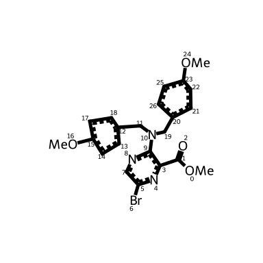 COC(=O)c1nc(Br)cnc1N(Cc1ccc(OC)cc1)Cc1ccc(OC)cc1